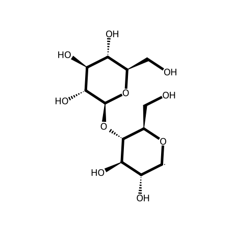 OC[C@H]1O[C@@H](O[C@H]2[C@H](O)[C@@H](O)[CH]O[C@@H]2CO)[C@H](O)[C@@H](O)[C@@H]1O